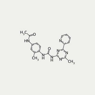 CC(=O)Nc1ccc(NC(=O)Nc2nc(C)nc(-c3ccccn3)n2)c(C)c1